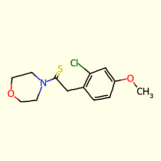 COc1ccc(CC(=S)N2CCOCC2)c(Cl)c1